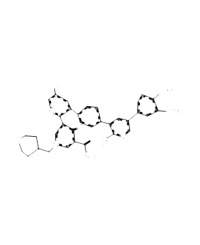 COc1ccc(-c2cnc(N)c(-c3ccc(-c4cc(C)cnc4-c4cn(CC5CCOCC5)cc(C(N)=O)c4=O)cc3)c2)cc1OC